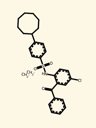 O=C(c1ccccc1)c1cc(Cl)ccc1NS(=O)(=O)c1ccc([C]2CCCCCCC2)cc1.[CH2].[CH2]